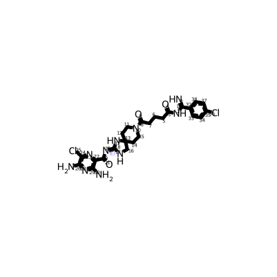 N=C(NC(=O)CCCC(=O)N1CCC2(CC1)CN/C(=N\C(=O)c1nc(Cl)c(N)nc1N)N2)c1ccc(Cl)cc1